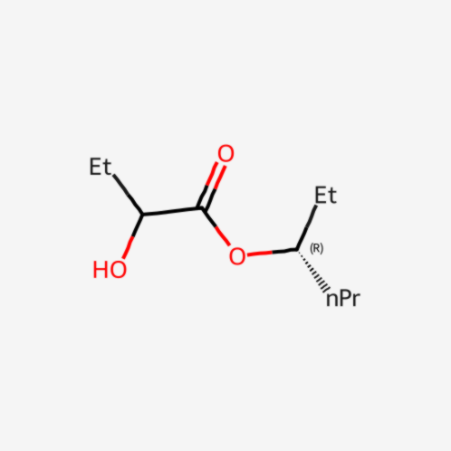 CCC[C@@H](CC)OC(=O)C(O)CC